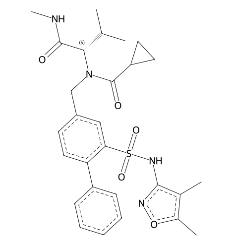 CNC(=O)[C@H](C(C)C)N(Cc1ccc(-c2ccccc2)c(S(=O)(=O)Nc2noc(C)c2C)c1)C(=O)C1CC1